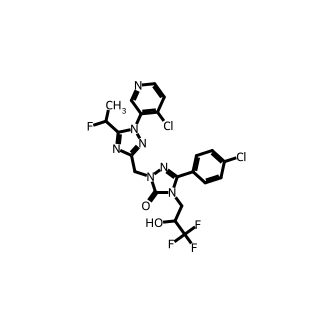 CC(F)c1nc(Cn2nc(-c3ccc(Cl)cc3)n(CC(O)C(F)(F)F)c2=O)nn1-c1cnccc1Cl